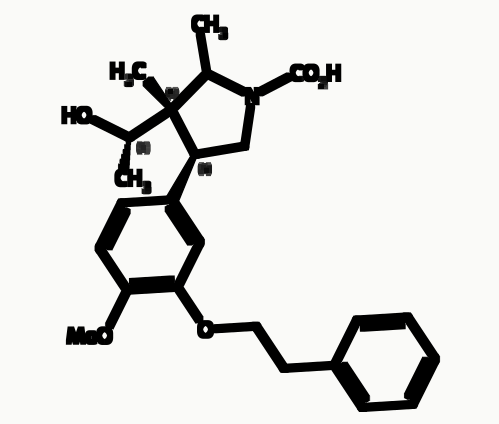 COc1ccc([C@@H]2CN(C(=O)O)C(C)[C@@]2(C)[C@H](C)O)cc1OCCc1ccccc1